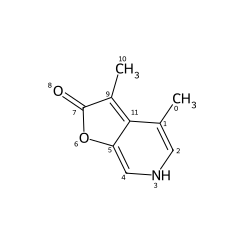 Cc1c[nH]cc2oc(=O)c(C)c1-2